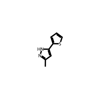 Cc1cc(-c2cccs2)[nH]n1